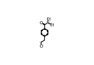 CCN(CC)C(=O)c1ccc(C[CH]Cl)cc1